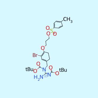 Cc1ccc(S(=O)(=O)OCCCOC2=C(Br)C=C(CN(C(=O)OC(C)(C)C)/C(N)=N\C(=O)OC(C)(C)C)CC2)cc1